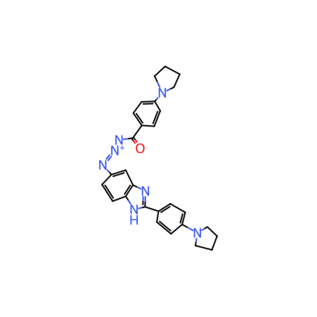 O=C(N=[N+]=Nc1ccc2[nH]c(-c3ccc(N4CCCC4)cc3)nc2c1)c1ccc(N2CCCC2)cc1